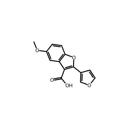 COc1ccc2oc(-c3ccoc3)c(C(=O)O)c2c1